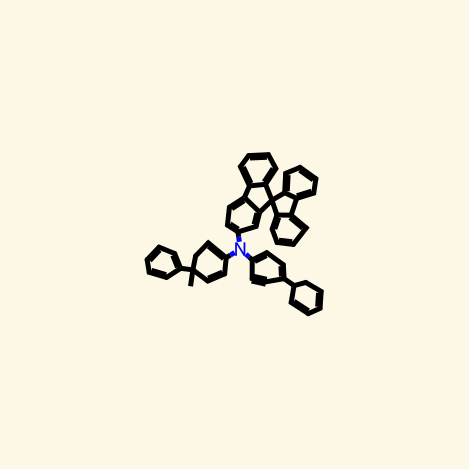 CC1(c2ccccc2)C=CC(N(c2c#cc(C3C=CC=CC3)cc2)c2ccc3c(c2)C2(c4ccccc4-c4ccccc42)c2ccccc2-3)=CC1